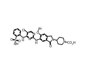 CCCS(=O)(=O)c1ccccc1Nc1nc(Nc2cc3c(cc2OC(C)C)CN(C2CCN(C(=O)O)CC2)C3=O)ncc1Cl